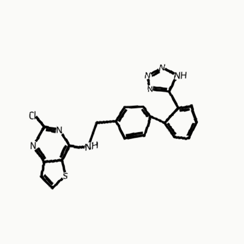 Clc1nc(NCc2ccc(-c3ccccc3-c3nnn[nH]3)cc2)c2sccc2n1